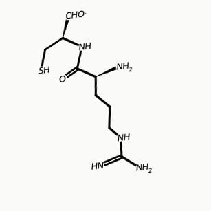 N=C(N)NCCC[C@H](N)C(=O)N[C@H]([C]=O)CS